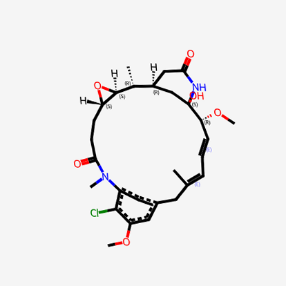 COc1cc2cc(c1Cl)N(C)C(=O)CC[C@@H]1O[C@H]1[C@H](C)[C@H]1CC(=O)N[C@](O)(C1)[C@H](OC)/C=C/C=C(\C)C2